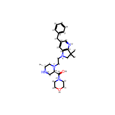 C[C@@H]1CN(CCN2CC(C)(C)c3ncc(Cc4ccccc4)cc32)[C@@H](C(=O)N2CCOCC2)CN1